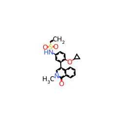 C=CS(=O)(=O)Nc1ccc(OC2CC2)c(-c2cn(C)c(=O)c3ccccc23)c1